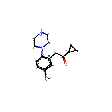 Cc1ccc(N2CCNCC2)c(CC(=O)C2CC2)c1